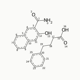 NC(=O)c1cc2ccccc2cc1O.O=C(O)CCCc1ccccc1